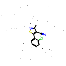 Cc1nsc(-c2ccccc2Cl)c1C#N